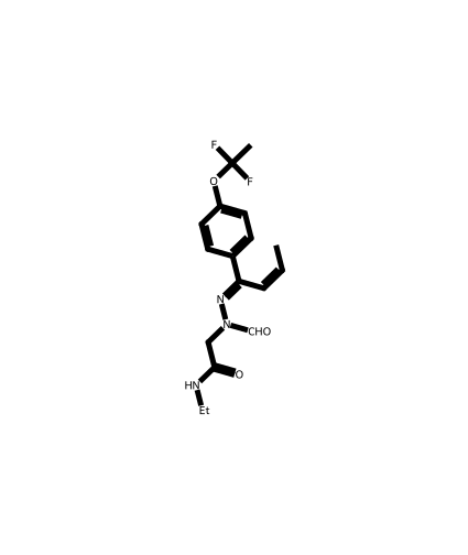 C/C=C\C(=N/N(C=O)CC(=O)NCC)c1ccc(OC(C)(F)F)cc1